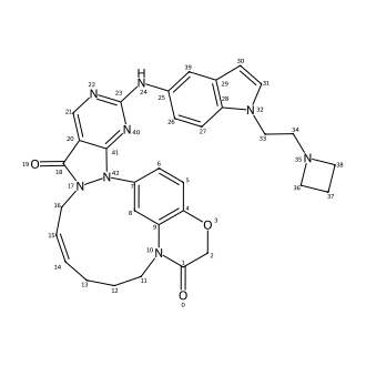 O=C1COc2ccc3cc2N1CCC/C=C\Cn1c(=O)c2cnc(Nc4ccc5c(ccn5CCN5CCC5)c4)nc2n1-3